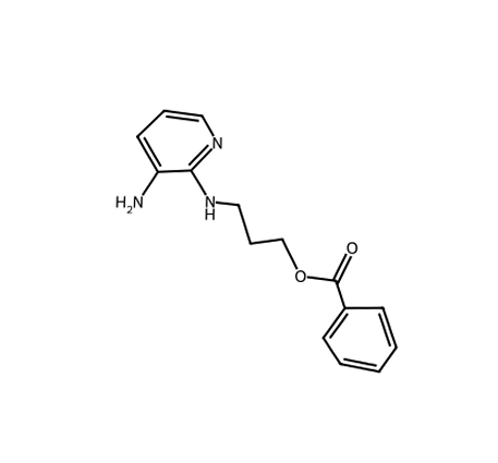 Nc1cccnc1NCCCOC(=O)c1ccccc1